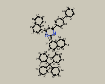 c1ccc(-c2ccc(-c3cc(-c4cccc5ccccc45)nc(-c4ccc(-c5cccc6c5-c5ccccc5C6(c5ccccc5)c5ccccc5)c5ccccc45)n3)cc2)cc1